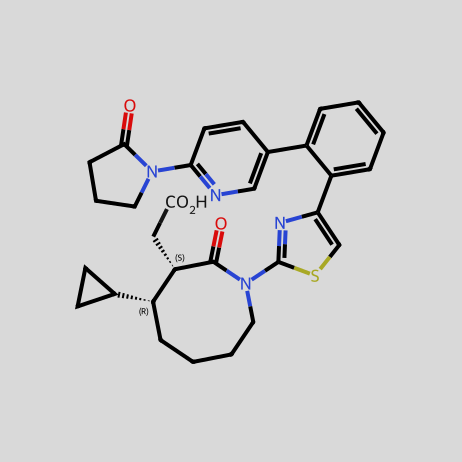 O=C(O)C[C@@H]1C(=O)N(c2nc(-c3ccccc3-c3ccc(N4CCCC4=O)nc3)cs2)CCCC[C@@H]1C1CC1